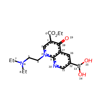 CCOC(=O)c1cn(CCN(CC)CC)c2ncc(B(O)O)cc2c1=O